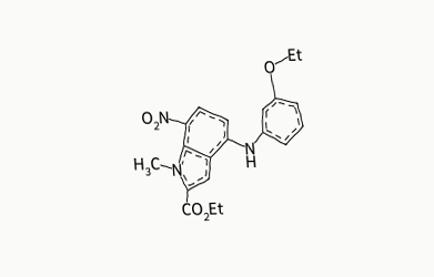 CCOC(=O)c1cc2c(Nc3cccc(OCC)c3)ccc([N+](=O)[O-])c2n1C